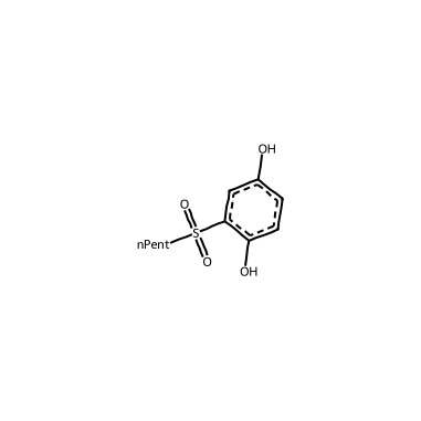 CCCCCS(=O)(=O)c1cc(O)ccc1O